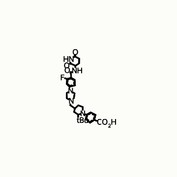 CC(C)(C)C1CC(CN2CCN(c3ccc(C(=O)NC4CCC(=O)NC4=O)c(F)c3)CC2)CCN1c1ccc(C(=O)O)cc1